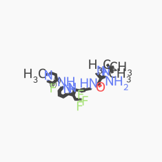 CN1CC[C@@H](Nc2cccc3c(CC(F)(F)F)c(C#CCNC(=O)c4cnn(C(C)(C)C)c4N)nn23)[C@@H](F)C1